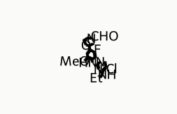 CCNc1nc(Nc2cc(F)c(C3CN(C=O)CCO3)cc2OC)ncc1Cl